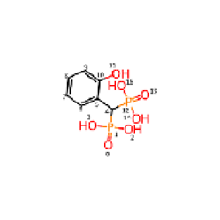 O=P(O)(O)C(c1ccccc1O)P(=O)(O)O